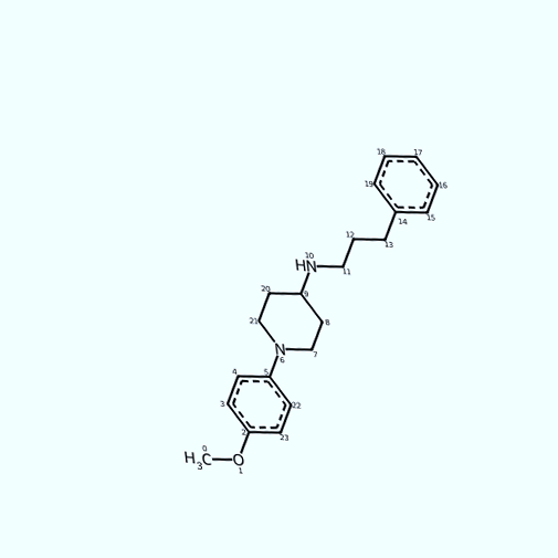 COc1ccc(N2CCC(NCCCc3ccccc3)CC2)cc1